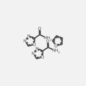 NC(=O)c1nnco1.NC(=O)c1nnco1.c1ccoc1